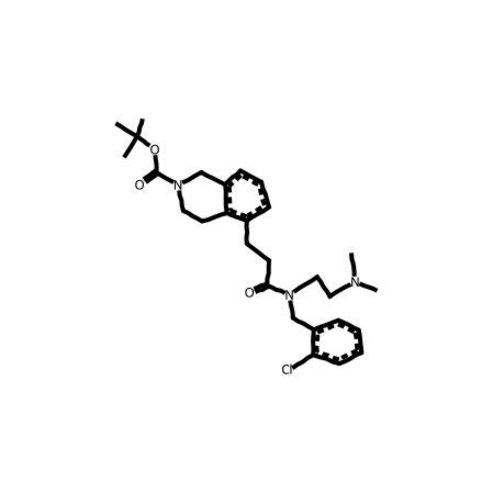 CN(C)CCN(Cc1ccccc1Cl)C(=O)CCc1cccc2c1CCN(C(=O)OC(C)(C)C)C2